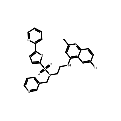 Cc1cc(NCCN(Cc2cccnc2)S(=O)(=O)c2ccc(-c3ccccn3)s2)c2cc(Cl)ccc2n1